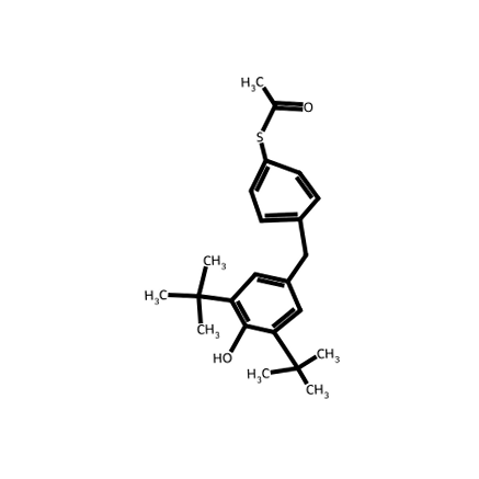 CC(=O)Sc1ccc(Cc2cc(C(C)(C)C)c(O)c(C(C)(C)C)c2)cc1